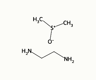 C[S+](C)[O-].NCCN